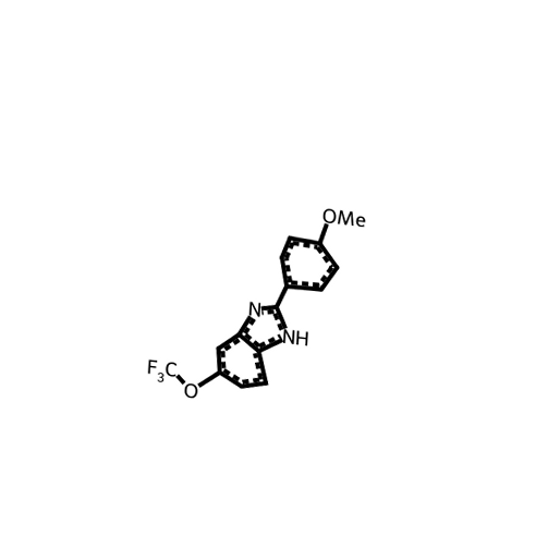 COc1ccc(-c2nc3cc(OC(F)(F)F)ccc3[nH]2)cc1